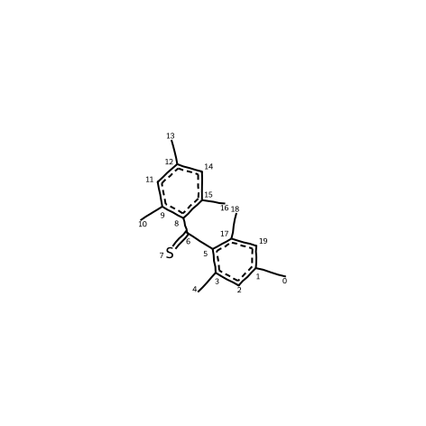 Cc1cc(C)c(C(=S)c2c(C)cc(C)cc2C)c(C)c1